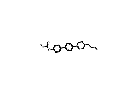 CCCCC1CC=C(c2ccc(-c3ccc(OC(=O)OC)cc3)cc2)CC1